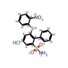 Cl.NS(=O)(=O)c1cccc(Sc2ccccc2[N+](=O)[O-])c1-c1ccccc1